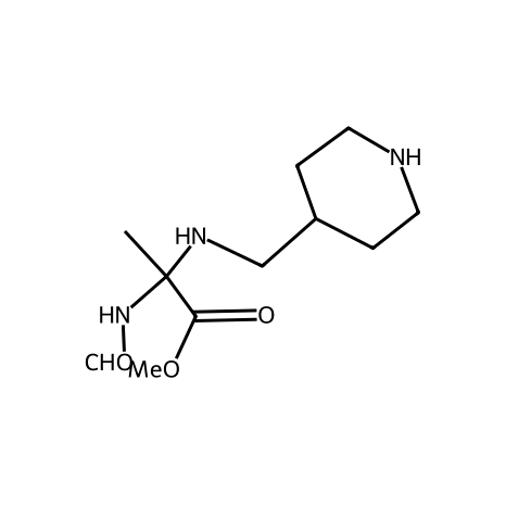 COC(=O)C(C)(NC=O)NCC1CCNCC1